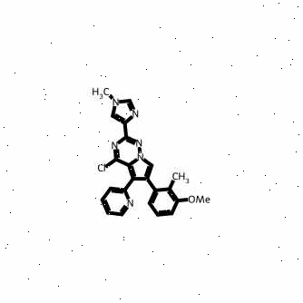 COc1cccc(-c2cn3nc(-c4cn(C)cn4)nc(Cl)c3c2-c2ccccn2)c1C